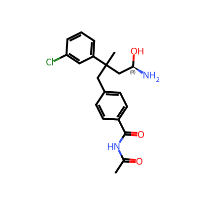 CC(=O)NC(=O)c1ccc(CC(C)(C[C@H](N)O)c2cccc(Cl)c2)cc1